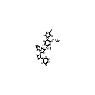 COc1cc(Nc2nc(N3CCC3c3ccccc3)n(CC(C)C)n2)ccc1-n1cnc(C)c1